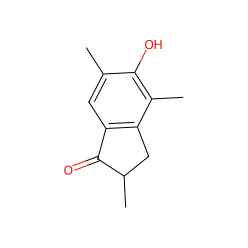 Cc1cc2c(c(C)c1O)CC(C)C2=O